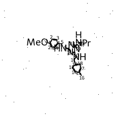 COc1ccc(CNc2nc(NCc3ccc(C)cc3)nc(NC(C)C)n2)cc1